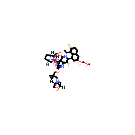 CCc1c(F)ccc2cc(OCOC)cc(-c3nc4c5c(nc(OCC6(CN7C[C@H]8C[C@@H]7CO8)CC6)nc5c3F)N3C[C@H]5CC[C@@H]([C@H]3CO4)N5C(=O)OC(C)(C)C)c12